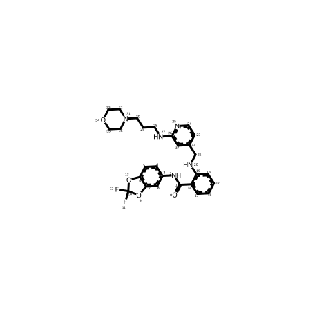 O=C(Nc1ccc2c(c1)OC(F)(F)O2)c1ccccc1NCc1ccnc(NCCCN2CCOCC2)c1